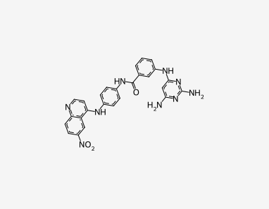 Nc1cc(Nc2cccc(C(=O)Nc3ccc(Nc4ccnc5ccc([N+](=O)[O-])cc45)cc3)c2)nc(N)n1